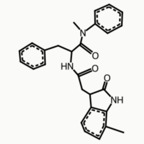 Cc1cccc2c1NC(=O)C2CC(=O)NC(Cc1ccccc1)C(=O)N(C)c1ccccc1